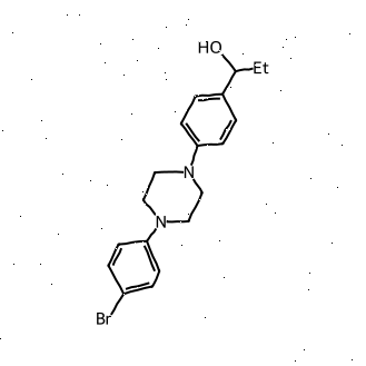 CCC(O)c1ccc(N2CCN(c3ccc(Br)cc3)CC2)cc1